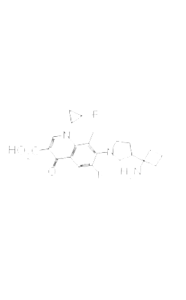 Cc1c(N2CCC(C3(N)CCC3)C2)c(F)cc2c(=O)c(C(=O)O)cn([C@@H]3C[C@@H]3F)c12